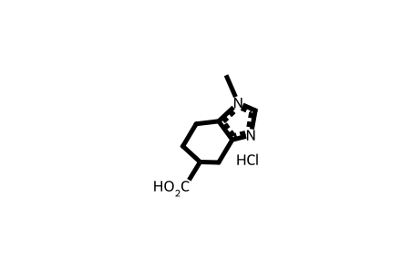 Cl.Cn1cnc2c1CCC(C(=O)O)C2